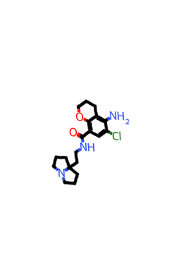 Nc1c(Cl)cc(C(=O)NCCC23CCCN2CCC3)c2c1CCCO2